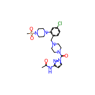 CC(=O)Nc1ccn(C(=O)N2CCN(Cc3ccc(Cl)cc3N3CCN(S(C)(=O)=O)CC3)CC2)n1